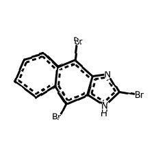 Brc1nc2c(Br)c3ccccc3c(Br)c2[nH]1